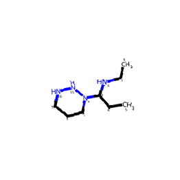 CCNC(CC)N1CCCNN1